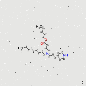 CCCCCCCCCN(CCCC(=O)OCCCCC)CCCC1CCNCC1